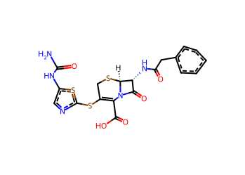 NC(=O)Nc1cnc(SC2=C(C(=O)O)N3C(=O)[C@@H](NC(=O)Cc4ccccc4)[C@@H]3SC2)s1